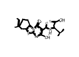 CC(C)C(NC(=O)c1c(O)nc2sc3c(n2c1=O)CCC(C)(C)C3)C(=O)O